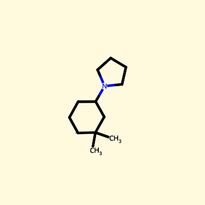 CC1(C)[CH]CCC(N2CCCC2)C1